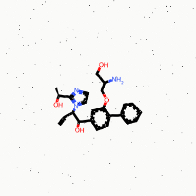 C=CC(C(O)c1ccc(-c2ccccc2)c(OCC(N)CO)c1)n1ccnc1[C@H](C)O